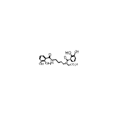 O=C(O)CN(CCCCNC(=O)c1cccc(O)c1O)C(=O)c1cccc(O)c1O